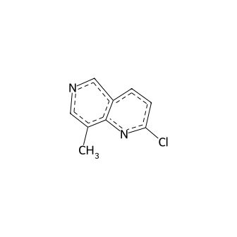 Cc1cncc2ccc(Cl)nc12